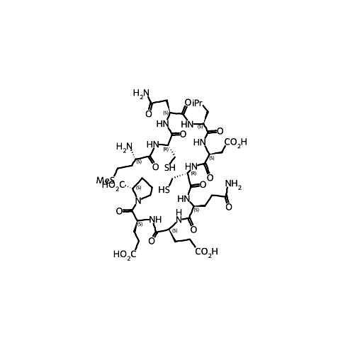 CSCC[C@H](N)C(=O)N[C@@H](CS)C(=O)N[C@@H](CC(N)=O)C(=O)N[C@@H](CC(C)C)C(=O)N[C@@H](CC(=O)O)C(=O)N[C@@H](CS)C(=O)N[C@@H](CCC(N)=O)C(=O)N[C@@H](CCC(=O)O)C(=O)N[C@@H](CCC(=O)O)C(=O)N1CCC[C@H]1C(=O)O